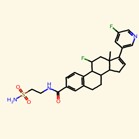 CC12CC(F)C3c4ccc(C(=O)NCCS(N)(=O)=O)cc4CCC3C1CC=C2c1cncc(F)c1